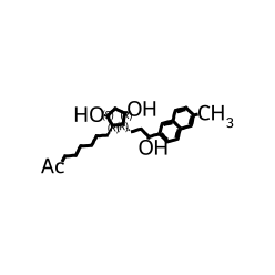 CC(=O)CCCCCC[C@@H]1[C@@H](CCC(O)c2ccc3cc(C)ccc3c2)[C@H](O)C[C@@H]1O